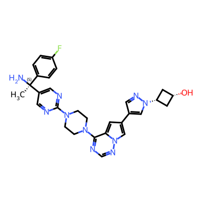 C[C@](N)(c1ccc(F)cc1)c1cnc(N2CCN(c3ncnn4cc(-c5cnn([C@H]6C[C@@H](O)C6)c5)cc34)CC2)nc1